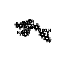 CC(C)CN(C[C@@H](O)[C@H](Cc1ccc(OCc2ccc(-c3ccc(F)cc3F)cc2C(=O)O)cc1)NC(=O)O[C@H]1CO[C@@]2(C)OCC[C@@H]12)S(=O)(=O)c1ccc2ncsc2c1